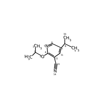 CC(C)Oc1ncc(C(C)C)cc1C#N